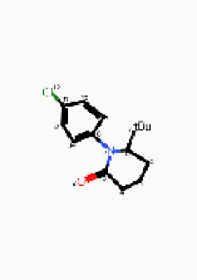 CC(C)(C)C1CCCC(=O)N1c1ccc(Cl)cc1